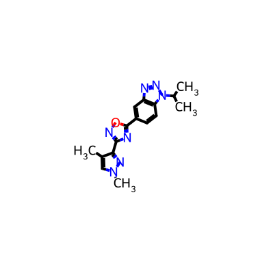 Cc1cn(C)nc1-c1noc(-c2ccc3c(c2)nnn3C(C)C)n1